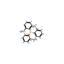 CCCc1ccccc1P(c1ccccc1CCC)c1ccccc1CCC